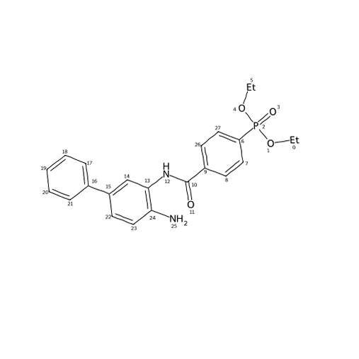 CCOP(=O)(OCC)c1ccc(C(=O)Nc2cc(-c3ccccc3)ccc2N)cc1